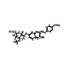 COc1ccc(CNc2nc3cc(CC4CC[C@]56OC(C)(C)O[C@H]5C(OC)O[C@H]46)ccc3cc2Br)cc1